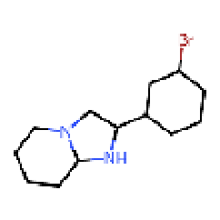 BrC1CCCC(C2CN3CCCCC3N2)C1